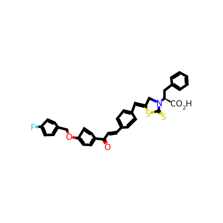 O=C(/C=C/c1ccc(/C=C2/CN([C@@H](Cc3ccccc3)C(=O)O)C(=S)S2)cc1)c1ccc(OCc2ccc(F)cc2)cc1